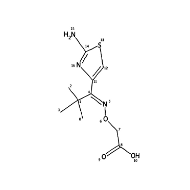 CC(C)(C)C(=NOCC(=O)O)c1csc(N)n1